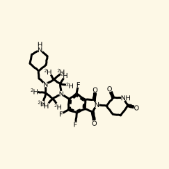 [2H]C1([2H])N(CC2CCNCC2)C([2H])([2H])C([2H])([2H])N(c2c(F)c(F)c3c(c2F)C(=O)N(C2CCC(=O)NC2=O)C3=O)C1([2H])[2H]